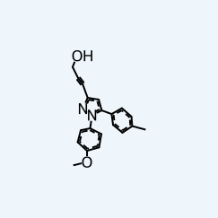 COc1ccc(-n2nc(C#CCO)cc2-c2ccc(C)cc2)cc1